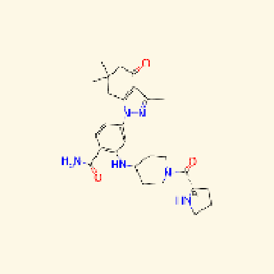 Cc1nn(-c2ccc(C(N)=O)c(NC3CCN(C(=O)[C@@H]4CCCN4)CC3)c2)c2c1C(=O)CC(C)(C)C2